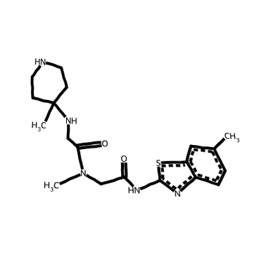 Cc1ccc2nc(NC(=O)CN(C)C(=O)CNC3(C)CCNCC3)sc2c1